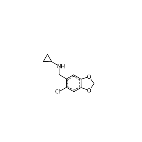 Clc1cc2c(cc1CNC1CC1)OCO2